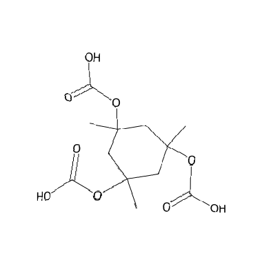 CC1(OC(=O)O)CC(C)(OC(=O)O)CC(C)(OC(=O)O)C1